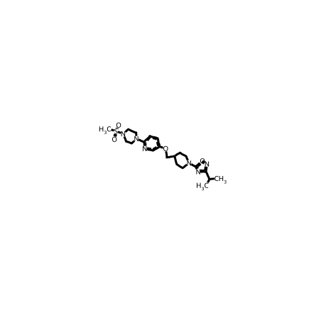 CC(C)c1noc(N2CCC(COc3ccc(N4CCN(S(C)(=O)=O)CC4)nc3)CC2)n1